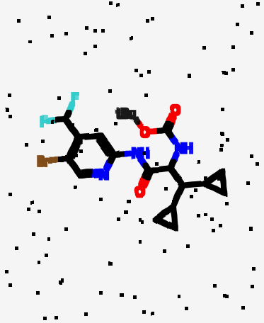 CC(C)(C)OC(=O)NC(C(=O)Nc1cc(C(F)F)c(Br)cn1)C(C1CC1)C1CC1